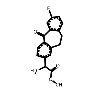 COC(=O)C(C)c1ccc2c(c1)CCc1ccc(F)cc1C2=O